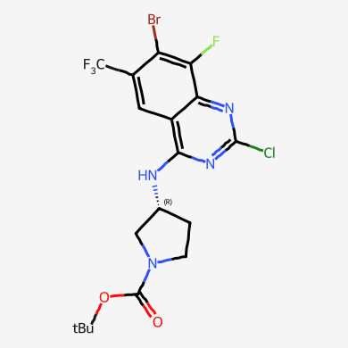 CC(C)(C)OC(=O)N1CC[C@@H](Nc2nc(Cl)nc3c(F)c(Br)c(C(F)(F)F)cc23)C1